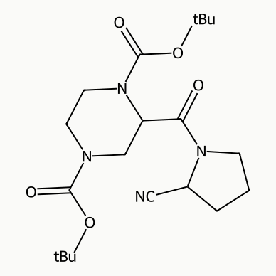 CC(C)(C)OC(=O)N1CCN(C(=O)OC(C)(C)C)C(C(=O)N2CCCC2C#N)C1